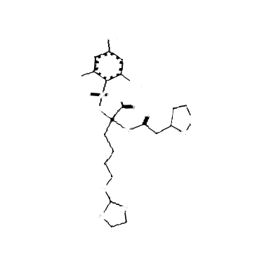 Cc1cc(C)c(S(=O)(=O)NC(CCCCNC2NCCN2)(NC(=O)CC2CCON2)C(=O)O)c(C)c1